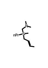 CC=CC[Si](C)(CCC)CN(C)C